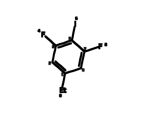 CCc1cc(F)c(I)c(F)c1